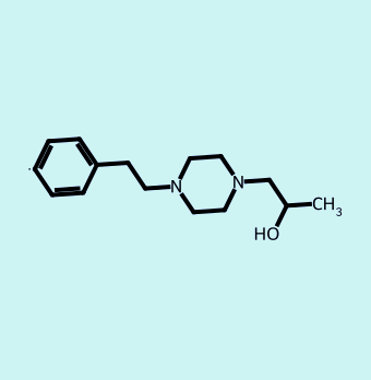 CC(O)CN1CCN(CCc2cc[c]cc2)CC1